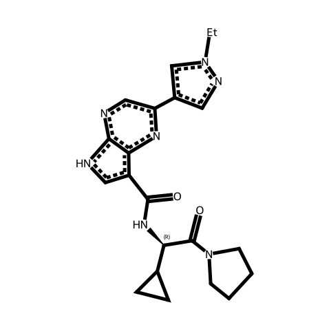 CCn1cc(-c2cnc3[nH]cc(C(=O)N[C@@H](C(=O)N4CCCC4)C4CC4)c3n2)cn1